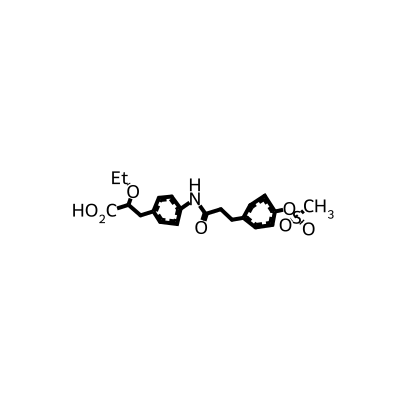 CCOC(Cc1ccc(NC(=O)CCc2ccc(OS(C)(=O)=O)cc2)cc1)C(=O)O